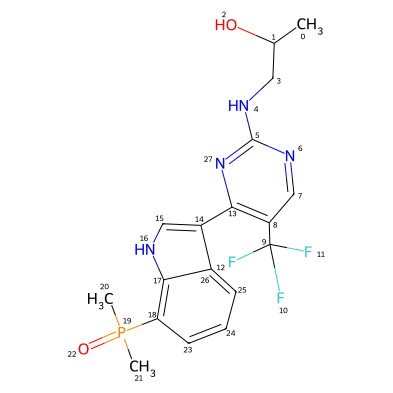 CC(O)CNc1ncc(C(F)(F)F)c(-c2c[nH]c3c(P(C)(C)=O)cccc23)n1